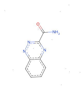 NC(=O)c1nnc2ccccc2n1